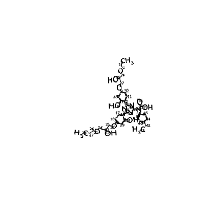 CCCOCC(O)COc1ccc(-c2nc(-c3ccc(OCC(O)COCCC)cc3O)nc(N(C(=O)O)c3ccc(CC)cc3)n2)c(O)c1